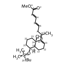 COC(=O)/C=C/C=C/CC(C)C1=CCC[C@H]2[C@@H](O[Si](C)(C)C(C)(C)C)CCC[C@]12C